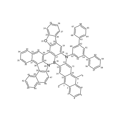 Cc1c2ccccc2c(C)c2cc3c(cc12)B1c2c(cc4c(oc5ccccc54)c2-c2cc4ccccc4c4c5c6ccccc6ccc5n1c24)N3c1cc(-c2ccccc2)cc(-c2ccccc2)c1